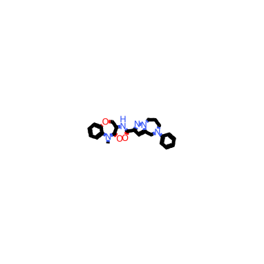 CN1C(=O)C(NC(=O)c2cc3n(n2)CCCN(c2ccccc2)C3)COc2ccccc21